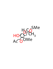 COc1c2c(cc(O)c1C(=O)CC(C)=O)OC(C(C)(C)OCSC)C2